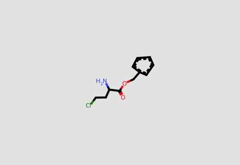 NC(CCCl)C(=O)OCc1ccccc1